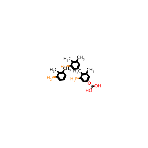 Cc1cccc(P)c1C.Cc1cccc(P)c1C.Cc1cccc(P)c1C.OB(O)O